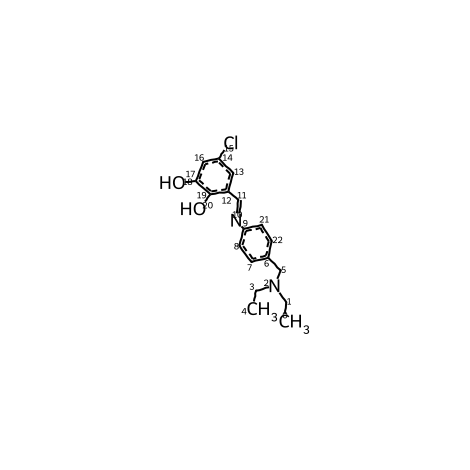 CCN(CC)Cc1ccc(N=Cc2cc(Cl)cc(O)c2O)cc1